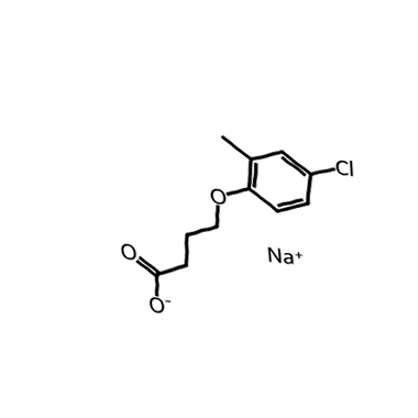 Cc1cc(Cl)ccc1OCCCC(=O)[O-].[Na+]